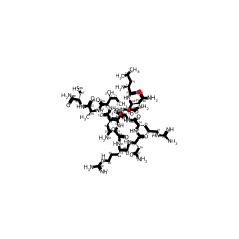 CC[C@H](C)[C@H](NC(=O)[C@H](CC(N)=O)NC(=O)[C@H](CC(N)=O)NC(=O)[C@H](CCCNC(=N)N)NC(=O)[C@H](CC(N)=O)NC(=O)[C@H](CCCNC(=N)N)NC(=O)CNC(=O)C(C)(C)NC(=O)[C@H](CC(N)=O)NC(=O)[C@@H](N)CC(C)C)C(=O)N[C@@H](C)C(=O)N[C@@H](CS)C(N)=O